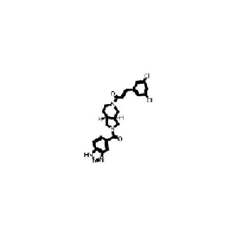 O=C(C=Cc1cc(Cl)cc(Cl)c1)N1CC[C@H]2CN(C(=O)c3ccc4[nH]nnc4c3)C[C@@H]2C1